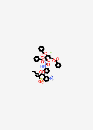 CCCC[C@]1(CC)CS(=O)(=O)c2ccc(N(C)C)cc2[C@@H](c2cccc(NC(=O)N[C@@H]3O[C@H](COC(=O)c4ccccc4)[C@@H](F)[C@H](OC(=O)c4ccccc4)[C@H]3OC(=O)c3ccccc3)c2)[C@H]1O